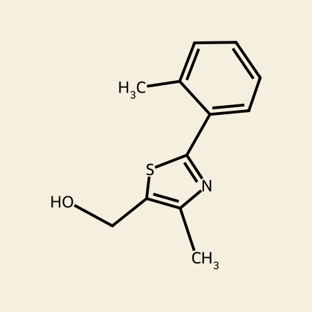 Cc1ccccc1-c1nc(C)c(CO)s1